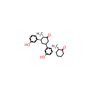 C[C@@H]1C(=O)CC(c2cc(O)cc([C@H]3CCCC(=O)[C@@H]3C)c2)C[C@H]1c1cccc(O)c1